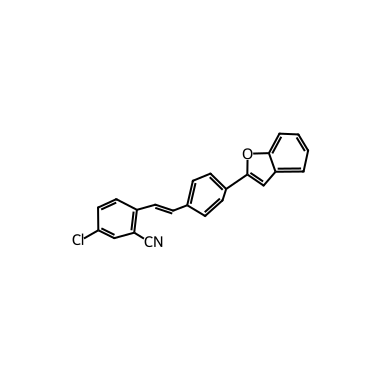 N#Cc1cc(Cl)ccc1C=Cc1ccc(-c2cc3ccccc3o2)cc1